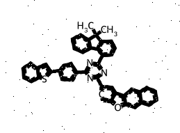 CC1(C)c2ccccc2-c2c(-c3nc(-c4ccc(-c5cc6ccccc6s5)cc4)nc(-c4ccc5oc6cc7ccccc7cc6c5c4)n3)cccc21